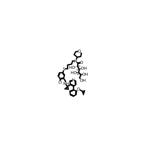 O=C([C@@H](O)[C@@H](O)[C@H](O)[C@@H](O)CO)N(CCCCSc1ccc(Cl)c(CNC2(c3cnccc3-c3ccccc3OC3CC3)CC2)c1)C1CCOCC1